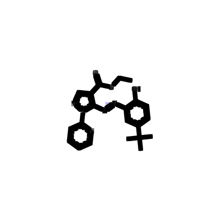 CCOC(=O)c1cnn(-c2ccccn2)c1/N=N/c1cc(C(C)(C)C)ccc1O